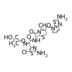 C[C@H](O/N=C(\C(=O)NC1C(=O)N2C(C=O)=C(C[n+]3cccc4nc(N)sc43)CSC12)c1nc(N)sc1Cl)C(=O)O